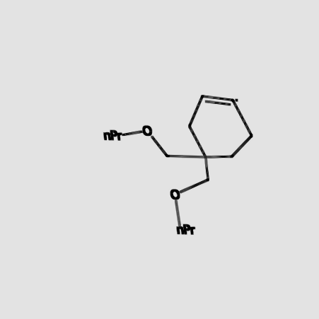 CCCOCC1(COCCC)CC=[C]CC1